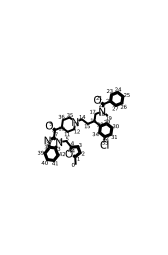 Cc1ccc(Cn2c(C(=O)C3CCN(CCC(CN(C)C(=O)c4ccccc4)c4cccc(Cl)c4)CC3)nc3ccccc32)o1